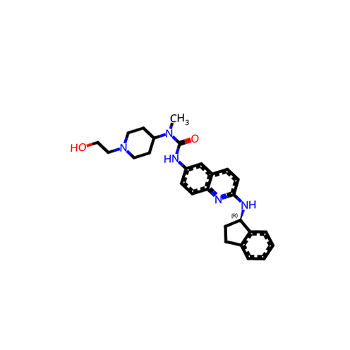 CN(C(=O)Nc1ccc2nc(N[C@@H]3CCc4ccccc43)ccc2c1)C1CCN(CCO)CC1